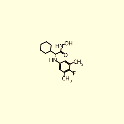 Cc1cc(N[C@@H](C(=O)NO)C2CCCCC2)cc(C)c1F